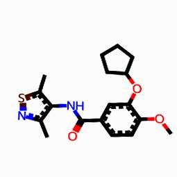 COc1ccc(C(=O)Nc2c(C)nsc2C)cc1OC1CCCC1